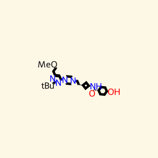 COCCc1cc(N2CCN(CC[C@H]3C[C@@H](NC(=O)[C@H]4CC[C@@H](O)CC4)C3)CC2)nc(C(C)(C)C)n1